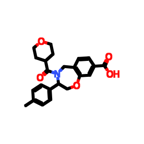 Cc1ccc(C2COc3cc(C(=O)O)ccc3CN2C(=O)C2CCOCC2)cc1